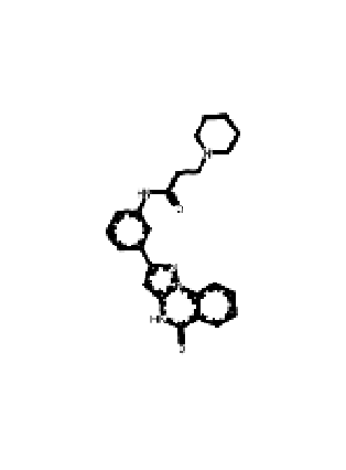 O=C(CCN1CCCCC1)Nc1cccc(-c2cc3[nH]c(=O)c4ccccc4n3n2)c1